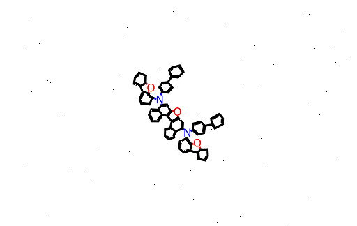 c1ccc(-c2ccc(N(c3cc4oc5cc(N(c6ccc(-c7ccccc7)cc6)c6cccc7c6oc6ccccc67)c6ccccc6c5c4c4ccccc34)c3cccc4c3oc3ccccc34)cc2)cc1